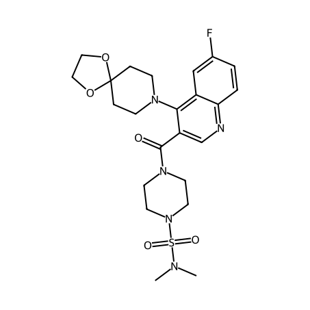 CN(C)S(=O)(=O)N1CCN(C(=O)c2cnc3ccc(F)cc3c2N2CCC3(CC2)OCCO3)CC1